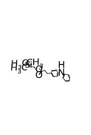 C[Si](C)(C)CCCOC(=O)CCc1ccc(Nc2ccccc2)cc1